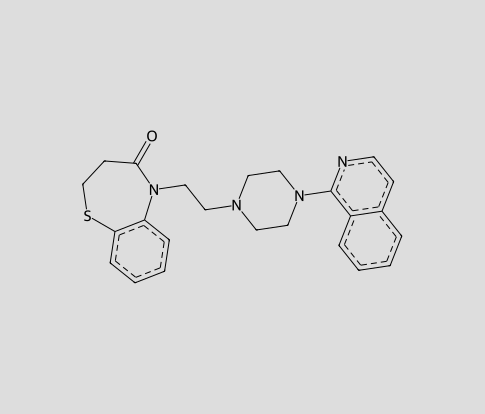 O=C1CCSc2ccccc2N1CCN1CCN(c2nccc3ccccc23)CC1